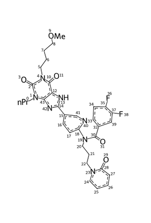 CCCn1c(=O)n(CCCCOC)c(=O)c2[nH]c(-c3ccc(N(CCCn4ccccc4=O)C(=O)c4ccc(F)c(F)c4)nc3)nc21